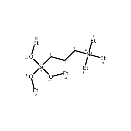 CCO[Si](CCC[N+](CC)(CC)CC)(OCC)OCC